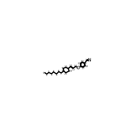 CCCCCCCCC1CCC(/C=C/COc2ccc(C#N)cc2)CC1